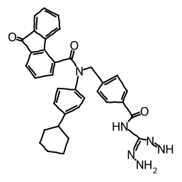 N=N/C(=N\N)NC(=O)c1ccc(CN(C(=O)c2cccc3c2-c2ccccc2C3=O)c2ccc(C3CCCCC3)cc2)cc1